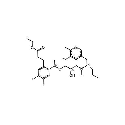 CCC[C@@H](Cc1ccc(C)c(Cl)c1)N(C)C[C@@H](O)CO[C@H](C)c1cc(F)c(F)cc1CCC(=O)OCC